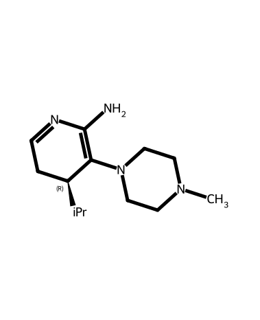 CC(C)[C@H]1CC=NC(N)=C1N1CCN(C)CC1